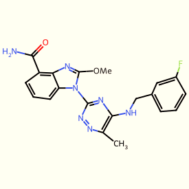 COc1nc2c(C(N)=O)cccc2n1-c1nnc(C)c(NCc2cccc(F)c2)n1